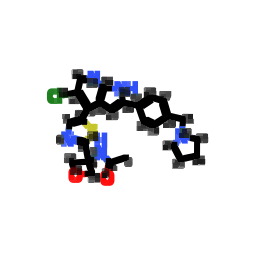 CC(=O)NC1(c2ncc(-c3c(Cl)cnc4[nH]c(-c5ccc(CN6CCCC6)cc5)cc34)s2)COC1